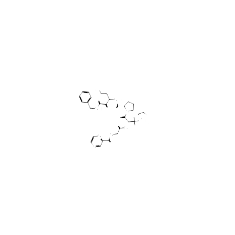 CCCC(NC(=O)[C@@H]1CC[C@H](CCC)N1C(=O)[C@@H](NC(=O)CNC(=O)c1cnccn1)C(C)(C)C)C(=O)C(=O)N[C@@H](C)c1ccccc1